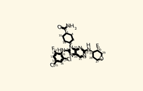 NC(=O)[C@H]1CC[C@@H](n2c(Nc3c(F)cc(Cl)cc3Cl)nc3cnc(N[C@@H]4CCOC[C@H]4F)nc32)CC1